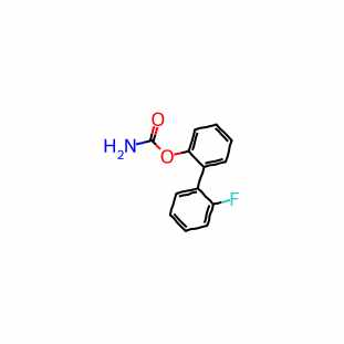 NC(=O)Oc1ccccc1-c1ccccc1F